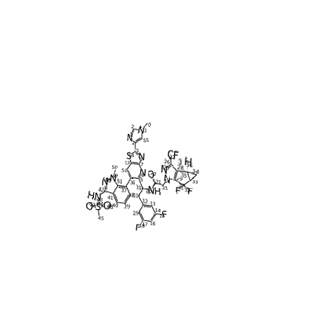 Cn1cnc(-c2nc3nc(C(Cc4cc(F)cc(F)c4)NC(=O)Cn4nc(C(F)(F)F)c5c4C(F)(F)C4C[C@H]54)c(-c4cccc5c(NS(C)(=O)=O)nn(C)c45)cc3s2)c1